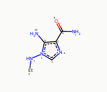 CCNn1cnc(C(N)=O)c1N